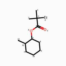 CCC(C)(C)C(=O)OC1CCCCC1C